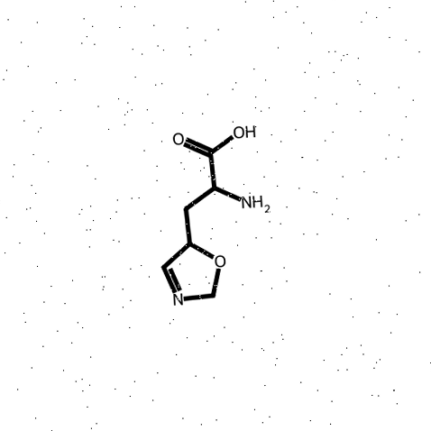 NC(CC1C=NCO1)C(=O)O